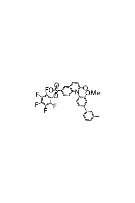 COc1cc(-c2cccc(C)c2)ccc1-n1c(=O)ccc2cc(S(=O)(=O)Oc3c(F)c(F)c(F)c(F)c3F)ccc21